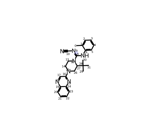 Cc1ccccc1N/C(=N/C#N)N1CCN(c2cnc3ccccc3n2)CC1C(C)(C)C